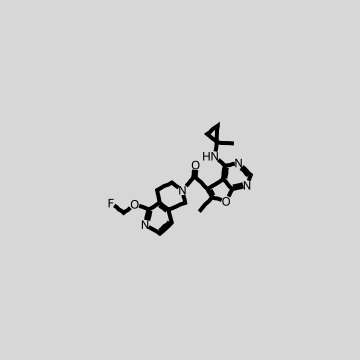 Cc1oc2ncnc(NC3(C)CC3)c2c1C(=O)N1CCc2c(ccnc2OCF)C1